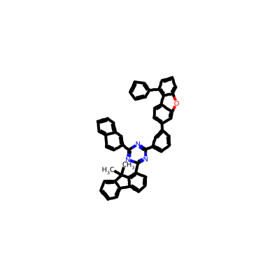 CC1(C)c2ccccc2-c2cccc(-c3nc(-c4cccc(-c5ccc6c(c5)oc5cccc(-c7ccccc7)c56)c4)nc(-c4ccc5ccccc5c4)n3)c21